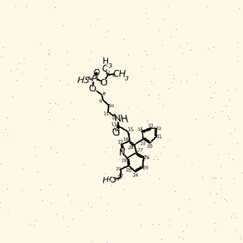 CC(C)OP(=O)(S)OCCCCNC(=O)Cc1cnc2c(CCO)cccc2c1-c1ccccc1